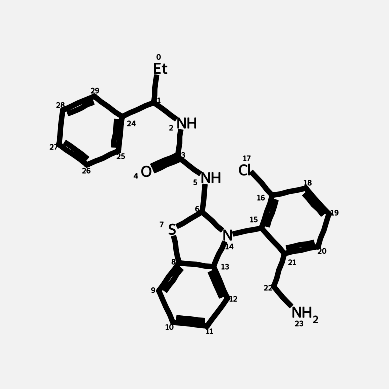 CCC(NC(=O)NC1Sc2ccccc2N1c1c(Cl)cccc1CN)c1ccccc1